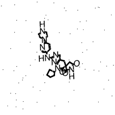 O=C1CC2(Cc3cnc(Nc4ccc(N5CCNCC5)nc4)nc3N(C3CCCC3)C2=O)C(=O)N1